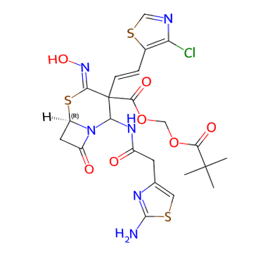 CC(C)(C)C(=O)OCOC(=O)C1(C=Cc2scnc2Cl)C(=NO)S[C@@H]2CC(=O)N2C1NC(=O)Cc1csc(N)n1